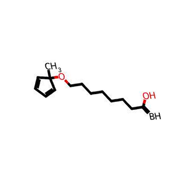 B=C(O)CCCCCCCOC1(C)C=CC=C1